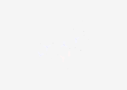 CCOc1cc2nccn2cc1NC(=O)c1cccc(C(F)(F)F)n1